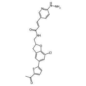 CC(=O)c1ccc(-c2cc(Cl)c3c(c2)CC(CNC(=O)C=Cc2ccc(NN)nc2)O3)s1